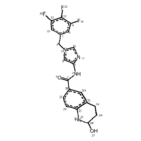 O=C(Nc1cn(Cc2cc(F)c(F)c(F)c2)cn1)c1ccc2c(c1)CCC(O)N2